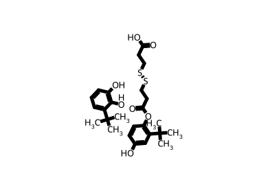 CC(C)(C)c1cc(O)ccc1OC(=O)CCSSCCC(=O)O.CC(C)(C)c1cccc(O)c1O